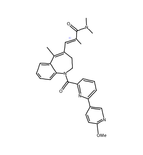 COc1ccc(-c2cccc(C(=O)N3CCC(/C=C(\C)C(=O)N(C)C)=C(C)c4ccccc43)n2)cn1